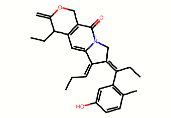 C=C1OCc2c(cc3n(c2=O)CC(=C(\CC)c2cc(O)ccc2C)/C3=C/CC)C1CC